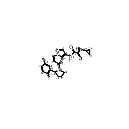 O=C(Nc1cnn2ccc(N3CCCC3c3cc(F)ccc3F)nc12)C(=O)NC1CC1